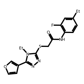 CCc1ccc(NC(=O)CSc2nnc(-c3ccoc3)n2CC)c(F)c1